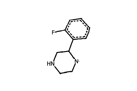 Fc1ccccc1C1CNCC[N]1